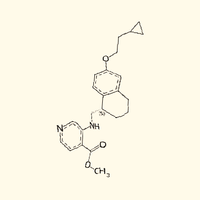 COC(=O)c1ccncc1NC[C@H]1CCCc2cc(OCCC3CC3)ccc21